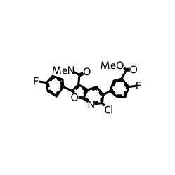 CNC(=O)c1c(-c2ccc(F)cc2)oc2nc(Cl)c(-c3ccc(F)c(C(=O)OC)c3)cc12